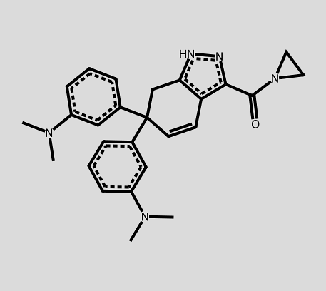 CN(C)c1cccc(C2(c3cccc(N(C)C)c3)C=Cc3c(C(=O)N4CC4)n[nH]c3C2)c1